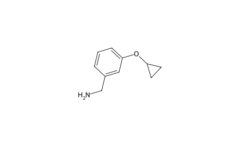 NCc1cccc(OC2CC2)c1